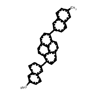 COc1ccc2cc(-c3ccc4ccc5c(-c6ccc7cc(C)ccc7c6)ccc6ccc3c4c65)ccc2c1